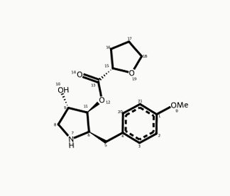 COc1ccc(C[C@H]2NC[C@H](O)[C@H]2OC(=O)[C@@H]2CCCO2)cc1